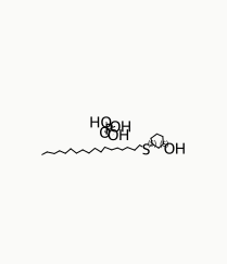 CCCCCCCCCCCCCCCCCCS[C@H]1CCC[C@H](O)C1.O=P(O)(O)O